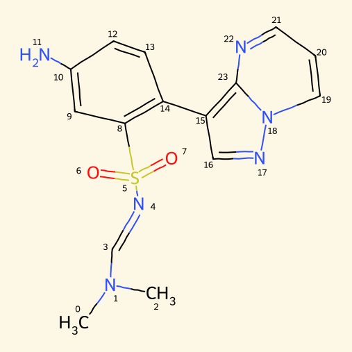 CN(C)C=NS(=O)(=O)c1cc(N)ccc1-c1cnn2cccnc12